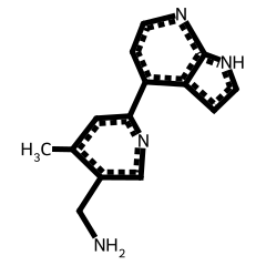 Cc1cc(-c2ccnc3[nH]ccc23)ncc1CN